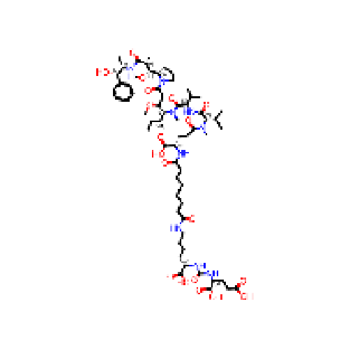 CC[C@H](C)[C@@H](C(CC(=O)N1CCC[C@H]1[C@H](OC)[C@@H](C)C(=O)N[C@H](C)[C@@H](O)c1ccccc1)OC)N(C)C(=O)[C@@H](NC(=O)[C@H](C(C)C)N(C)C(=O)CC[C@H](NC(=O)CCCCCCC(=O)NCCCC[C@H](NC(=O)N[C@@H](CCC(=O)O)C(=O)O)C(=O)O)C(=O)O)C(C)C